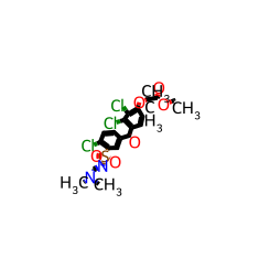 CCOC(=O)C(C)(C)Oc1ccc(C(=O)c2ccc(Cl)c(S(=O)(=O)N=CN(C)C)c2)c(Cl)c1Cl